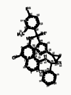 [2H]C(Nc1cc(Cl)c2ncc(C#N)c(NC(CC)c3ccccc3)c2c1)(c1cn(C2CC2)nn1)c1ccc(F)nc1C